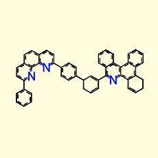 C1=Cc2c(c3ccccc3c3c2nc(C2=CC(c4ccc(-c5ccc6ccc7ccc(-c8ccccc8)nc7c6n5)cc4)CC=C2)c2ccccc23)CC1